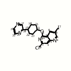 Clc1cc2ncc(I)cc2c(OC2CCC(c3cnccn3)CC2)n1